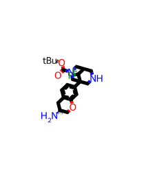 CC(C)(C)OC(=O)N1CC2CNCC(c3ccc4c(c3)OC[C@H](N)C4)(C1)C2(F)F